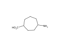 NC1CCCC(C(=O)O)CC1